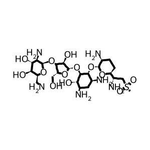 CS(=O)(=O)C[C@H](N)[C@@H]1CC[C@@H](N)[C@@H](O[C@H]2[C@H](O[C@@H]3O[C@H](CO)[C@@H](O[C@H]4O[C@@H](CN)[C@@H](O)[C@H](O)[C@H]4N)[C@H]3O)[C@@H](O)[C@H](N)C[C@@H]2N)O1